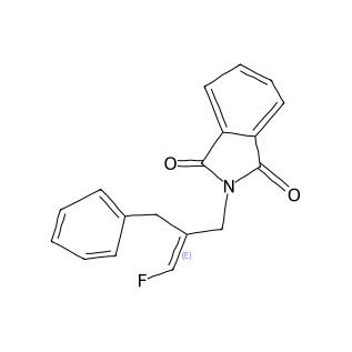 O=C1c2ccccc2C(=O)N1C/C(=C/F)Cc1ccccc1